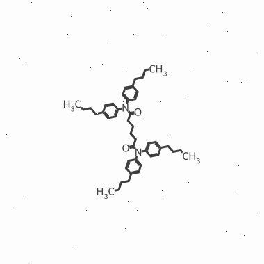 CCCCc1ccc(N(C(=O)CCCCC(=O)N(c2ccc(CCCC)cc2)c2ccc(CCCC)cc2)c2ccc(CCCC)cc2)cc1